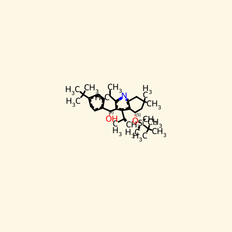 C=C(C)c1c([C@H](O)c2ccc(C(C)(C)C)cc2)c(C(C)C)nc2c1[C@@H](O[Si](C)(C)C(C)(C)C)CC(C)(C)C2